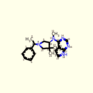 CC(c1ccccc1)N1C[C@@H](N(C)c2ncnc3[nH]ccc23)C(C)(C)C1